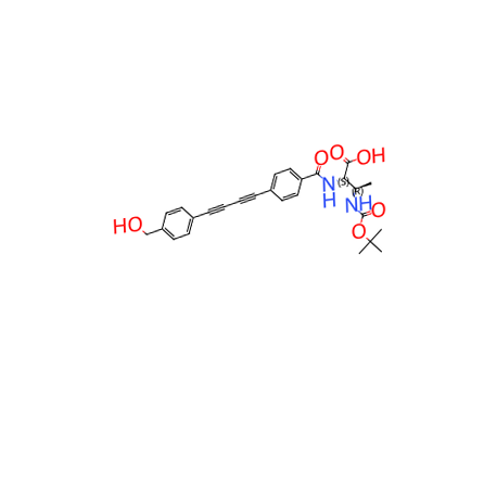 C[C@@H](NC(=O)OC(C)(C)C)[C@H](NC(=O)c1ccc(C#CC#Cc2ccc(CO)cc2)cc1)C(=O)O